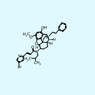 COc1cc(O)c2c3c1O[C@H]1[C@H](N(CC(C)C)C(=O)/C=C/c4cc(Br)cs4)CC[C@H]4[C@@H](C2)N(CCc2ccccc2)CC[C@@]341